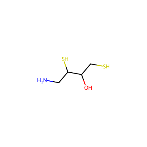 NCC(S)C(O)CS